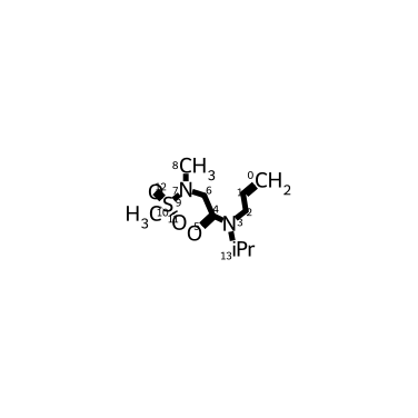 C=CCN(C(=O)CN(C)S(C)(=O)=O)C(C)C